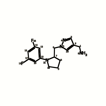 NCc1cnn(CC2CCCN2c2cc(F)cc(F)c2)c1